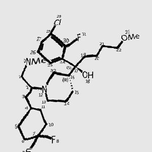 CNCC(CC1CCC(F)(F)CC1)N1CCC[C@@H]([C@@](O)(CCCCOC)c2cccc(Cl)c2F)C1